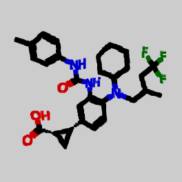 Cc1ccc(NC(=O)Nc2cc([C@@H]3C[C@@H]3C(=O)O)ccc2N(CC(C)CC(F)(F)F)C2CCCCC2)cc1